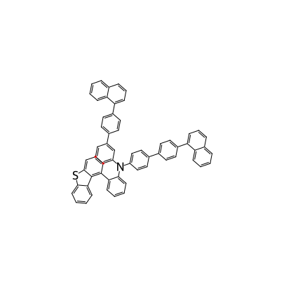 c1cc(-c2ccc(-c3cccc4ccccc34)cc2)cc(N(c2ccc(-c3ccc(-c4cccc5ccccc45)cc3)cc2)c2ccccc2-c2cccc3sc4ccccc4c23)c1